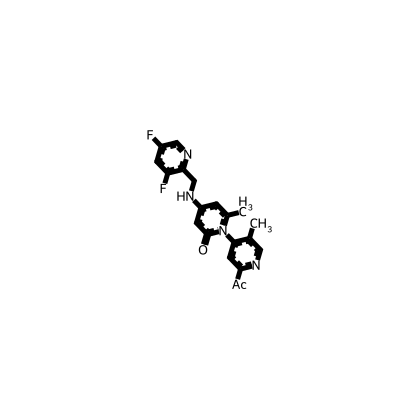 CC(=O)c1cc(-n2c(C)cc(NCc3ncc(F)cc3F)cc2=O)c(C)cn1